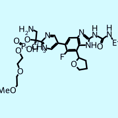 CCNC(=O)Nc1nc2cc(-c3cnc([C@@](C)(CN)OP(=O)(O)OCCOCCOC)nc3)c(F)c(C3CCCO3)c2[nH]1